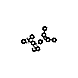 c1ccc(-c2ccc3c(c2)c2cc(-c4ccccc4)ccc2n3-c2ccc(N(c3ccc(-c4nc5ccccc5nc4-c4ccccc4)cc3)c3cccc4cccnc34)cc2)cc1